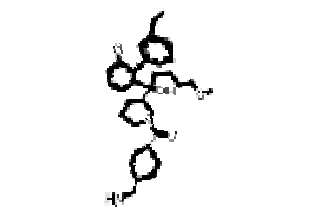 CCc1cccc(-c2c(Cl)cccc2C(O)(CCCCOC)[C@@H]2CCCN(C(=O)[C@H]3CC[C@H](CNC)CC3)C2)c1